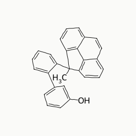 CC1(c2ccccc2-c2cccc(O)c2)c2cccc3ccc4cccc1c4c23